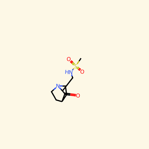 CS(=O)(=O)NCC1C(=O)C2CCN1CC2